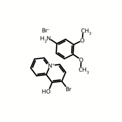 COc1ccc(N)cc1OC.Oc1c(Br)cc[n+]2ccccc12.[Br-]